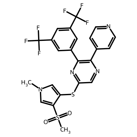 Cn1cc(Sc2cnc(-c3ccncc3)c(-c3cc(C(F)(F)F)cc(C(F)(F)F)c3)n2)c(S(C)(=O)=O)c1